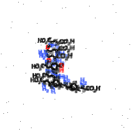 NC(=O)CC(N)C(=O)O.NC(=O)CCC(N)C(=O)O.NC(CC(=O)O)C(=O)O.NC(CCC(=O)O)C(=O)O.NC(Cc1c[nH]c2ccccc12)C(=O)O.NC(Cc1c[nH]cn1)C(=O)O.NC(Cc1ccc(O)cc1)C(=O)O.NC(Cc1ccccc1)C(=O)O